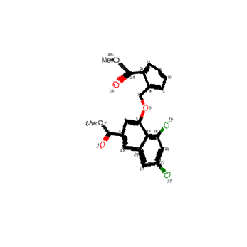 COC(=O)c1cc(OCc2ccccc2C(=O)OC)c2c(Cl)cc(Cl)cc2c1